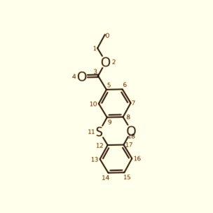 CCOC(=O)c1ccc2c(c1)Sc1ccccc1O2